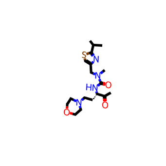 CC(=O)[C@H](CCN1CCOCC1)NC(=O)N(C)Cc1csc(C(C)C)n1